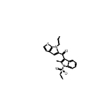 CCCn1c(C(=O)c2c(C)n(S(=O)(=O)CC)c3ccccc23)cc2ccsc21